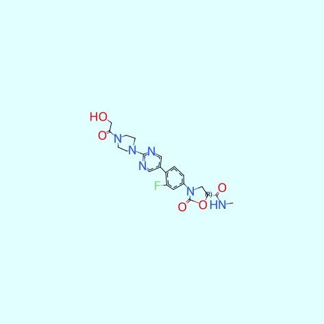 CNC(=O)[C@H]1CN(c2ccc(-c3cnc(N4CCN(C(=O)CO)CC4)nc3)c(F)c2)C(=O)O1